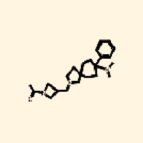 CC(=O)N1CC(CN2CCC3(CCC(c4ccccc4)(N(C)C)CC3)C2)C1